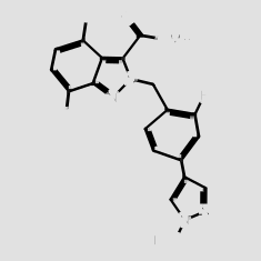 COC(=O)c1c2c(F)ccc(F)c2nn1Cc1ccc(-c2cnn(C)c2)cc1F